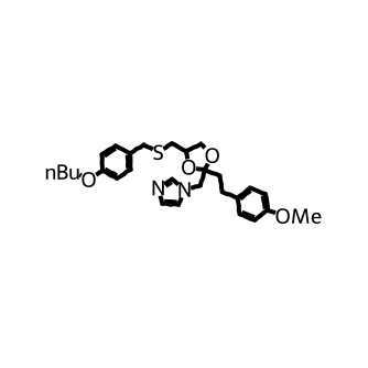 CCCCOc1ccc(CSCC2COC(CCc3ccc(OC)cc3)(Cn3ccnc3)O2)cc1